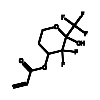 C=CC(=O)OC1CCOC(O)(C(F)(F)F)C1(F)F